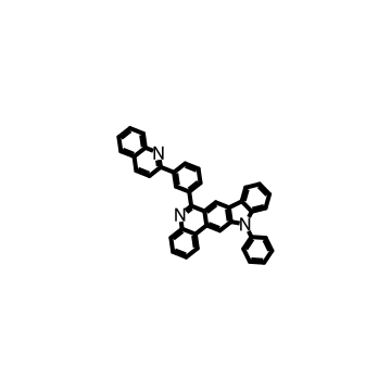 c1ccc(-n2c3ccccc3c3cc4c(-c5cccc(-c6ccc7ccccc7n6)c5)nc5ccccc5c4cc32)cc1